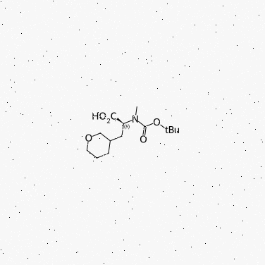 CN(C(=O)OC(C)(C)C)[C@@H](CC1CCCOC1)C(=O)O